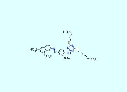 COc1cc(N=Nc2ccc3cc(S(=O)(=O)O)cc(S(=O)(=O)O)c3c2)ccc1Nc1nc(SCCCCCS(=O)(=O)O)nc(SCCCS(=O)(=O)O)n1